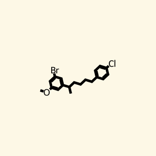 COc1cc(Br)cc(C(C)CCCCc2ccc(Cl)cc2)c1